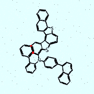 c1ccc(-c2ccccc2N(c2ccc(-c3cccc4ccccc34)cc2)c2cccc3c2sc2ccc4sc5c6ccccc6ccc5c4c23)cc1